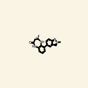 C[C@@H]1CC(=O)Nc2cccc(-c3ccc4nn(C)cc4c3)c2N1